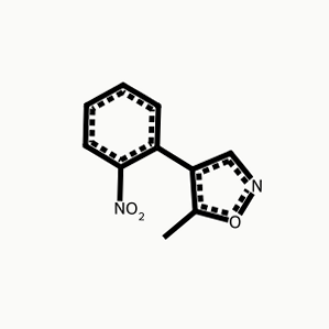 Cc1oncc1-c1ccccc1[N+](=O)[O-]